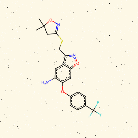 CC1(C)CC(SCc2noc3cc(Oc4ccc(C(F)(F)F)cc4)c(N)cc23)=NO1